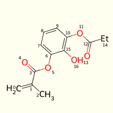 C=C(C)C(=O)Oc1cccc(OC(=O)CC)c1O